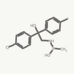 CB(O)NCC(O)(c1ccc(Cl)cc1)c1ccc(I)cc1